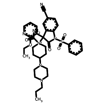 CCCN1CCN(C2CC[N+](C(N)=O)(C3(c4cccnc4OCC)C(=O)N(S(=O)(=O)c4ccccc4)c4ccc(C#N)cc43)CC2)CC1